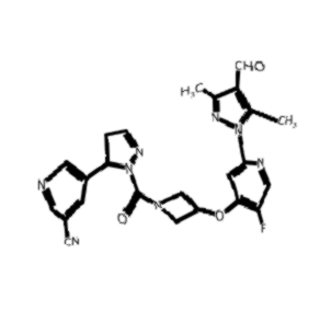 Cc1nn(-c2cc(OC3CN(C(=O)N4N=CCC4c4cncc(C#N)c4)C3)c(F)cn2)c(C)c1C=O